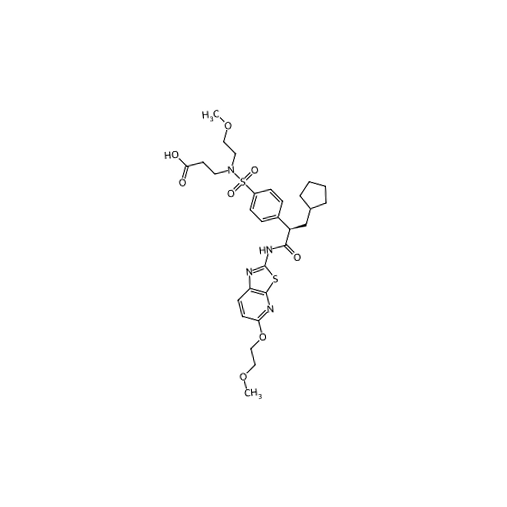 COCCOc1ccc2nc(NC(=O)[C@H](CC3CCCC3)c3ccc(S(=O)(=O)N(CCOC)CCC(=O)O)cc3)sc2n1